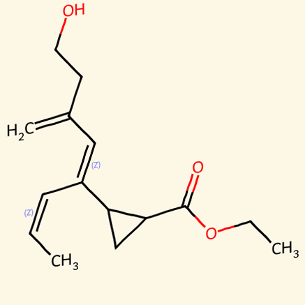 C=C(/C=C(\C=C/C)C1CC1C(=O)OCC)CCO